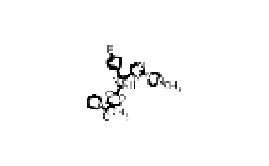 CN1CCN(c2nccc(-c3[nH]c(C4OCC(C)(C(=O)N5CCCCC5)CO4)nc3-c3ccc(F)cc3)n2)CC1